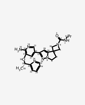 CC(C)NC(=O)N1CC2(CCn3nc(-c4cnc(N)c(O[C@@H](C)c5ccccn5)c4)cc32)C1